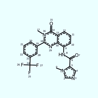 Cn1cncc1C(=O)Nc1cccc2c(=O)n(C)c(-c3cccc(C(F)(F)F)c3)nc12